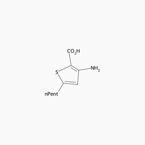 CCCCCc1cc(N)c(C(=O)O)s1